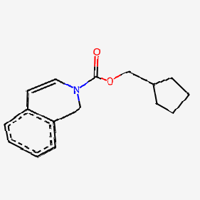 O=C(OCC1CCCC1)N1C=Cc2ccccc2C1